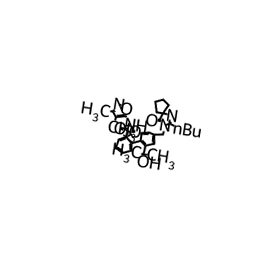 CCCCC1=NC2(CCCC2)C(=O)N1Cc1ccc(-c2ccccc2S(=O)(=O)Nc2onc(C)c2C)c(C(C)(C)O)c1